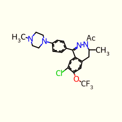 CC(=O)N1N=C(c2ccc(N3CCN(C)CC3)cc2)c2cc(Cl)c(OC(F)(F)F)cc2CC1C